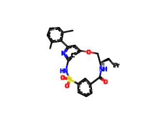 Cc1cccc(C)c1-c1cc2cc(n1)NS(=O)(=O)c1cccc(c1)C(=O)N[C@H](CC(C)C)CO2